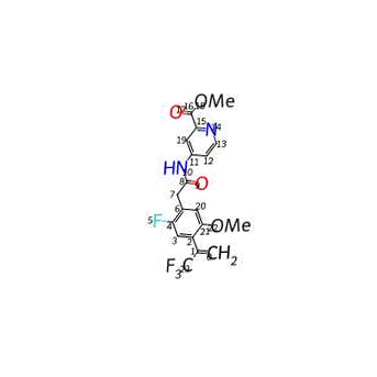 C=C(c1cc(F)c(CC(=O)Nc2ccnc(C(=O)OC)c2)cc1OC)C(F)(F)F